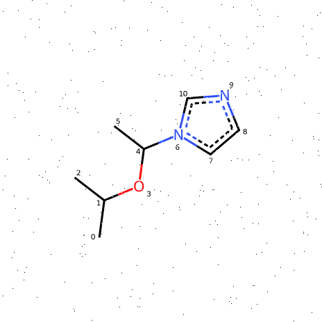 CC(C)OC(C)n1ccnc1